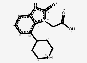 O=C(O)Cn1c(=O)[nH]c2cccc(C3CCNCC3)c21